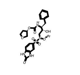 CC(C)ON(C[C@@H](O)[C@H](Cc1ccccc1)NC(=O)O[C@H]1CCOC1)S(=O)(=O)c1ccc2[nH]c(=O)[nH]c2c1